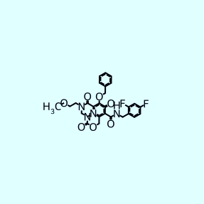 COCCN1CN2C(=O)OCc3c(C(=O)NCc4ccc(F)cc4F)c(=O)c(OCc4ccccc4)c(n32)C1=O